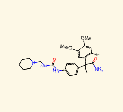 COc1cc(C(C)=O)c(C(C)(C(N)=O)c2ccc(NC(=O)NCN3CCCCC3)cc2)cc1OC